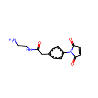 NCCNC(=O)Cc1ccc(N2C(=O)C=CC2=O)cc1